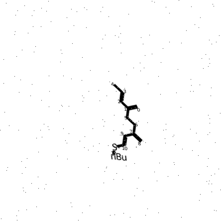 C=C(/C=C/C)CCC(=C)/C=C/SCCCC